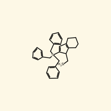 [SiH3]CC1[C]([Ti]([CH2]c2ccccc2)([CH2]c2ccccc2)[CH2]c2ccccc2)=CC2=C1CCCC2